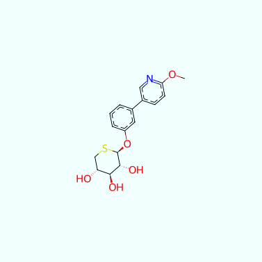 COc1ccc(-c2cccc(O[C@@H]3SC[C@@H](O)[C@H](O)[C@H]3O)c2)cn1